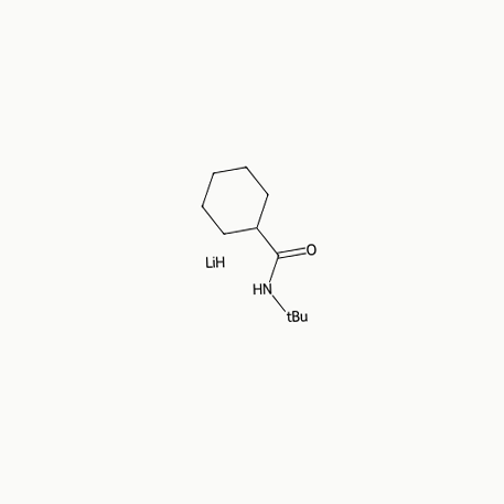 CC(C)(C)NC(=O)C1CCCCC1.[LiH]